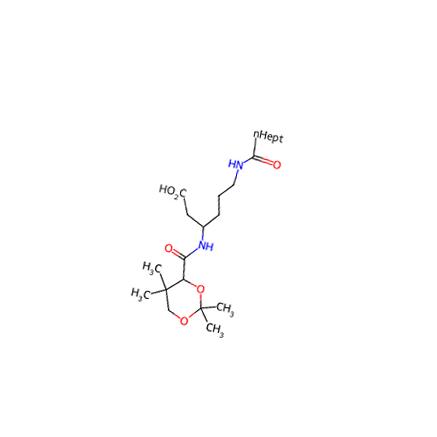 CCCCCCCC(=O)NCCCC(CC(=O)O)NC(=O)C1OC(C)(C)OCC1(C)C